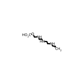 C=CCNCCNCCNCOC(=O)O